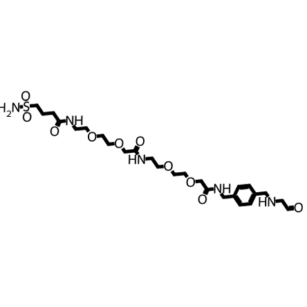 NS(=O)(=O)CCCC(=O)NCCOCCOCC(=O)NCCOCCOCC(=O)NCc1ccc(CNCC=O)cc1